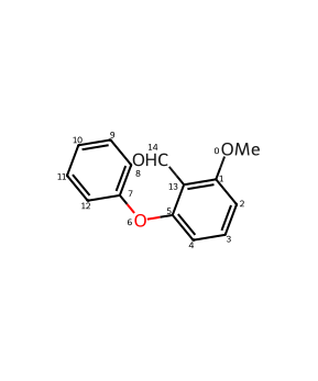 COc1cccc(Oc2ccccc2)c1C=O